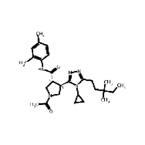 CCC(C)(C)CCc1nnc([C@H]2CN(C(C)=O)C[C@@H]2C(=O)Nc2ccc(C)cc2C)n1C1CC1